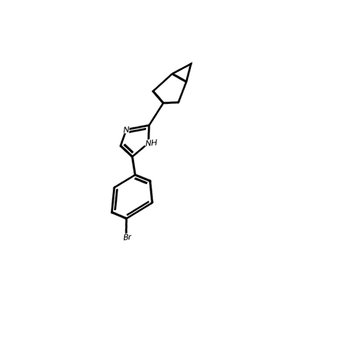 Brc1ccc(-c2cnc(C3CC4CC4C3)[nH]2)cc1